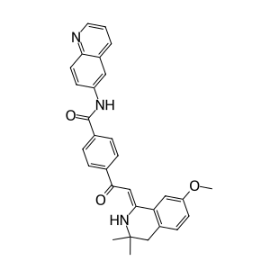 COc1ccc2c(c1)C(=CC(=O)c1ccc(C(=O)Nc3ccc4ncccc4c3)cc1)NC(C)(C)C2